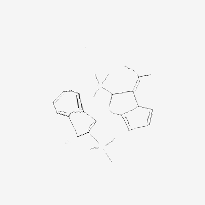 CC(C)=C1C2C=CC=C2SC1[Si](C)(C)C.C[Si](C)(C)C1=Cc2ccccc2C1.[Cl-].[Cl-].[Zr+2]